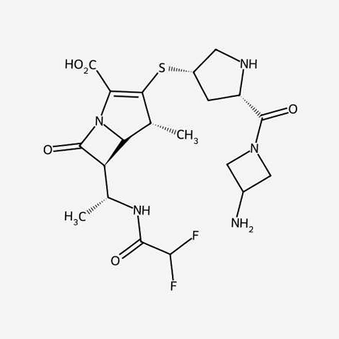 C[C@H]1C(S[C@@H]2CN[C@H](C(=O)N3CC(N)C3)C2)=C(C(=O)O)N2C(=O)[C@H]([C@@H](C)NC(=O)C(F)F)C12